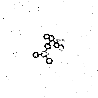 C/C=C\c1cccc(-c2ccc3ccccc3c2-c2ccc(C3N=C(c4ccccc4)N=C(c4ccccc4)N3)cc2)c1NC